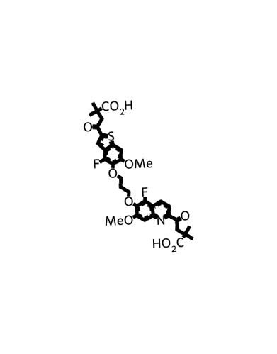 COc1cc2nc(C(=O)CC(C)(C)C(=O)O)ccc2c(F)c1OCCCOc1c(OC)cc2sc(C(=O)CC(C)(C)C(=O)O)cc2c1F